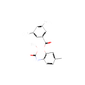 Cc1ccc(NC(=O)OC(C)(C)C)c(OC(=O)c2cc([N+](=O)[O-])cc([N+](=O)[O-])c2)c1